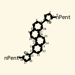 CCCCCc1ccc(-c2ccc3ccc4c5cc(-c6ccc(CCCCC)s6)ccc5ccc4c3c2)s1